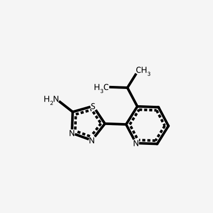 CC(C)c1cccnc1-c1nnc(N)s1